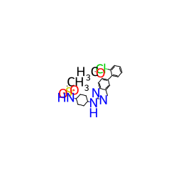 CCS(=O)(=O)NC1CCC(Nc2ncc3cc(-c4ccccc4Cl)c(OC)cc3n2)CC1